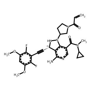 C=CC(=O)N1CCC(N2N[C@@H](C#Cc3c(F)c(OC)cc(OC)c3F)c3c(N)ncc(C(=O)N(C)C4CC4)c32)C1